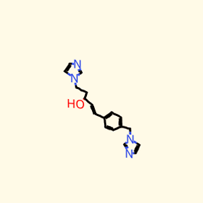 OC(C=Cc1ccc(Cn2ccnc2)cc1)CCn1ccnc1